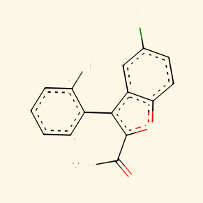 COC(=O)c1oc2ccc(Cl)cc2c1-c1ccccc1C(F)(F)F